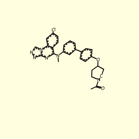 CC(=O)N1CCC(Oc2ccc(-c3cccc(N(C)c4nc5nncn5c5cc(Cl)ccc45)c3)cc2)CC1